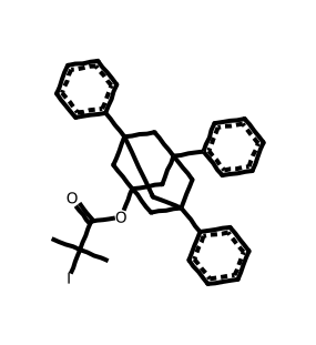 CC(C)(I)C(=O)OC12CC3(c4ccccc4)CC(c4ccccc4)(C1)CC(c1ccccc1)(C2)C3